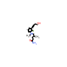 CC(CCC(N)=O)CN(C)c1cccc(C#CCCO)c1F